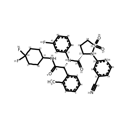 Cc1ccccc1[C@H](C(=O)NC1CCC(F)(F)CC1)N(C(=O)[C@@H]1CCS(=O)(=O)N1c1cc(C#N)ccn1)c1cccc(F)c1